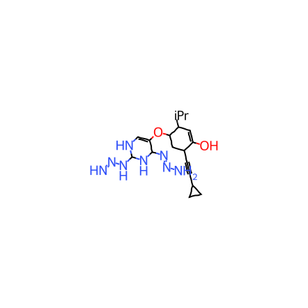 CC(C)C1C=C(O)C(C#CC2CC2)CC1OC1=CNC(NN=N)NC1N=NN